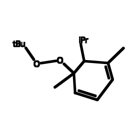 CC1=CC=CC(C)(OOC(C)(C)C)C1C(C)C